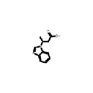 CC(CC(=O)O)n1cnc2ccccc21